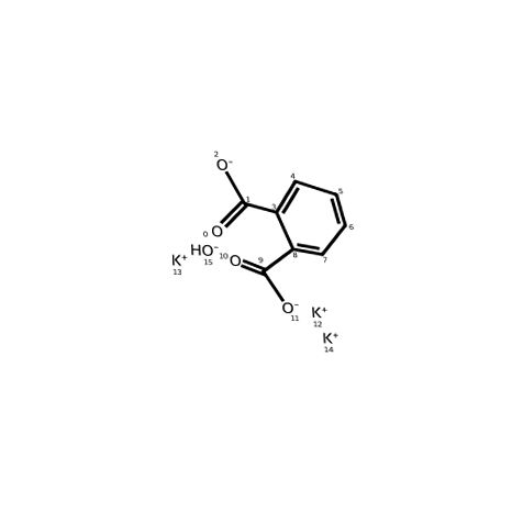 O=C([O-])c1ccccc1C(=O)[O-].[K+].[K+].[K+].[OH-]